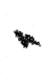 C=C/N=C1/C=NC(N(C)CCOC)=N/C1=C(/N)Nc1cc(C(=O)Nc2cc(C(C)(C)C)on2)ccc1C(F)(F)F